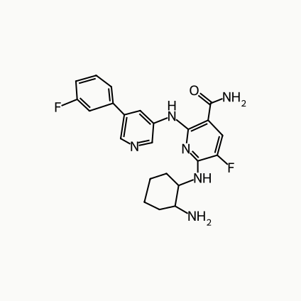 NC(=O)c1cc(F)c(NC2CCCCC2N)nc1Nc1cncc(-c2cccc(F)c2)c1